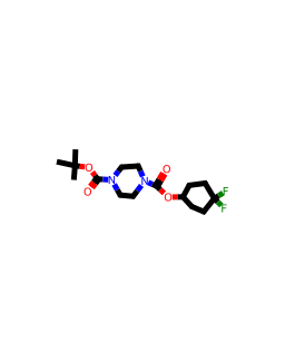 CC(C)(C)OC(=O)N1CCN(C(=O)OC2CCC(F)(F)CC2)CC1